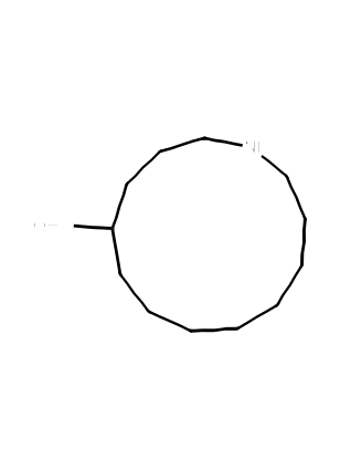 O=CC1CCCCCCCCNCCC1